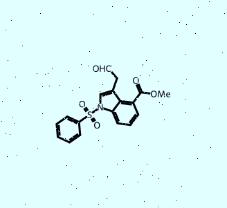 COC(=O)c1cccc2c1c(CC=O)cn2S(=O)(=O)c1ccccc1